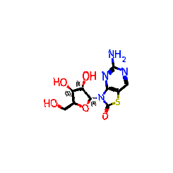 Nc1ncc2sc(=O)n([C@@H]3OC(CO)[C@@H](O)[C@H]3O)c2n1